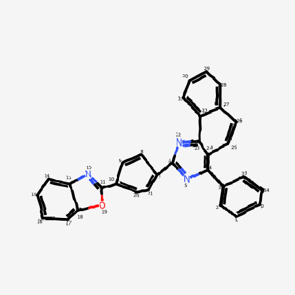 c1ccc(-c2nc(-c3ccc(-c4nc5ccccc5o4)cc3)nc3c2ccc2ccccc23)cc1